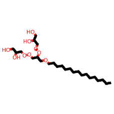 CCCCCCCCCCCCCCCCOCC(COOCC(O)CO)OOCC(O)CO